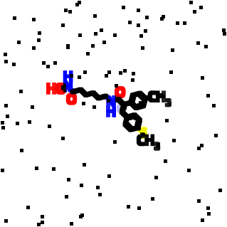 CSc1ccc(/C=C(/C(=O)NCCCCCC(=O)NO)c2ccc(C)cc2)cc1